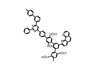 CCCCCCCCc1cc(-c2cc(-c3ccc4ccc5cccnc5c4n3)cc(-c3cc(CCCCCCCC)c(-c4ccc(-c5cc(-c6cccc(-c7ccc(C)cc7)c6)nc(-c6ccccc6)n5)cc4)cc3CCCCCCCC)c2)c(CCCCCCCC)cc1C